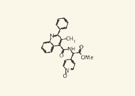 COC(=O)C(NC(=O)c1c(C)c(-c2ccccc2)nc2ccccc12)c1cc[n+]([O-])cc1